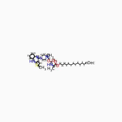 CCCCCCCCCCCCCCCCCCCCCCOC(=O)[C@H](C)NC(=O)OC[N+]1(C)CCN(C2=Nc3ccccc3Nc3sc(C)cc32)CC1